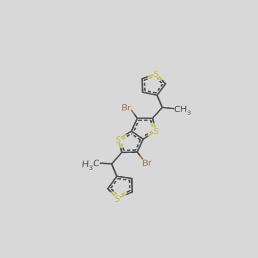 CC(c1ccsc1)c1sc2c(Br)c(C(C)c3ccsc3)sc2c1Br